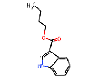 CCCCOC(=O)c1[c][nH]c2ccccc12